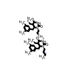 C/C=C/Cn1c(Cc2cc(C)cc(C)c2)c(CC)c(=O)[nH]c1=O.C=CCn1c(Cc2cc(C)cc(C)c2)c(CC)c(=O)[nH]c1=O